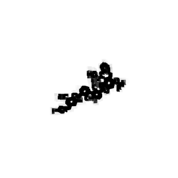 Cc1c(-c2nc3cc(CN4CCC[C@H]4C(=O)O)c(OC(F)F)cc3o2)cccc1-c1cccc(-c2nc3cc(CN4CC(F)C4)cc(C#N)c3o2)c1C